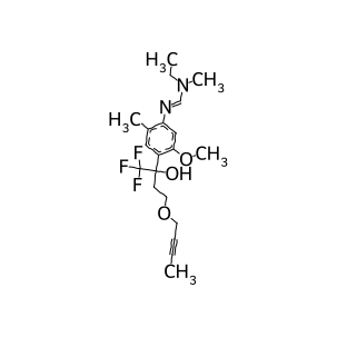 CC#CCOCCC(O)(c1cc(C)c(N=CN(C)CC)cc1OC)C(F)(F)F